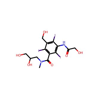 CN(CC(O)CO)C(=O)c1c(I)c(CO)c(I)c(NC(=O)CO)c1I